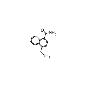 NCc1ccc(C(N)=O)c2ccccc12